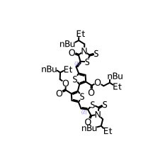 CCCCC(CC)COC(=O)c1cc(/C=C2\SC(=S)N(CC(CC)CCCC)C2=O)sc1-c1sc(/C=C2\SC(=S)N(CC(CC)CCCC)C2=O)cc1C(=O)OCC(CC)CCCC